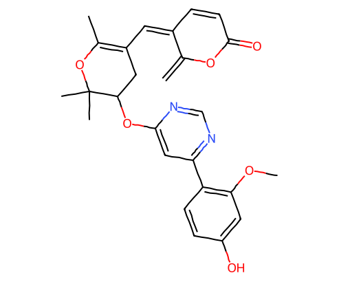 C=c1oc(=O)cc/c1=C/C1=C(C)OC(C)(C)C(Oc2cc(-c3ccc(O)cc3OC)ncn2)C1